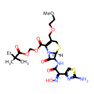 CCC(C)(C)C(=O)OCOC(=O)C1=C(COCCOC)CS[C@H]2C(NC(=O)/C(=N\O)c3csc(N)n3)C(=O)N12